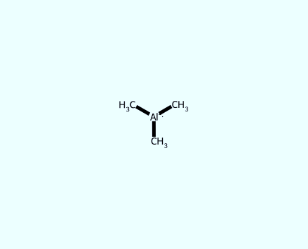 [CH3][Al-]([CH3])[CH3]